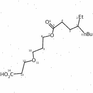 CCCCC(CC)CCC(=O)OCCCOCCC(=O)O